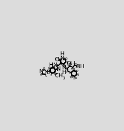 Cc1cc(-n2ccnc2)cc2[nH]c(-c3c(NC(Cc4ccccc4)C(O)CCO)cc[nH]c3=O)nc12